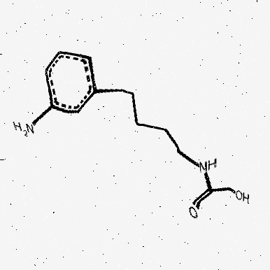 Nc1cccc(CCCCNC(=O)O)c1